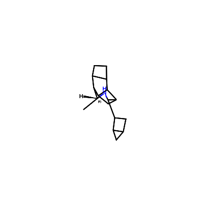 C[C@H]1NC(C2CC3CC32)C2CC3C2C2CCC2C31